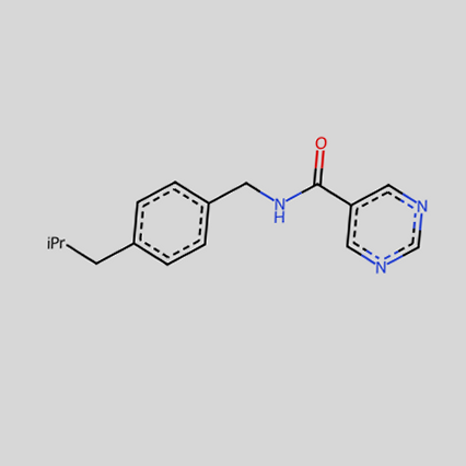 CC(C)Cc1ccc(CNC(=O)c2cncnc2)cc1